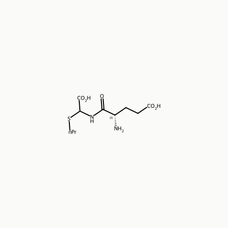 CCCSC(NC(=O)[C@@H](N)CCC(=O)O)C(=O)O